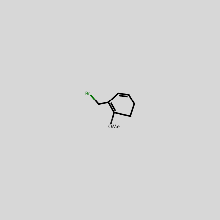 COC1=C(CBr)C=CC[CH]1